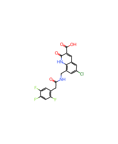 O=C(Cc1cc(F)c(F)cc1F)NCc1cc(Cl)cc2cc(C(=O)O)c(=O)[nH]c12